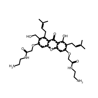 CC(C)=CCc1c(OCC(=O)NCCN)cc2oc3cc(OCC(=O)NCCN)c(CO)c(CC=C(C)C)c3c(=O)c2c1O